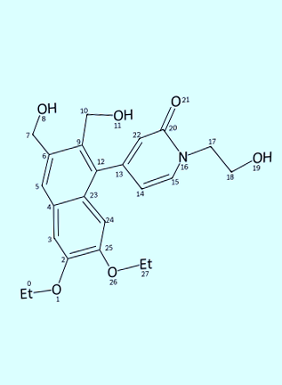 CCOc1cc2cc(CO)c(CO)c(-c3ccn(CCO)c(=O)c3)c2cc1OCC